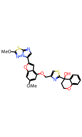 COc1cc(OCc2csc(C3(O)CCOc4ccccc43)n2)c2cc(-c3cnc4sc(OC)nn34)oc2c1